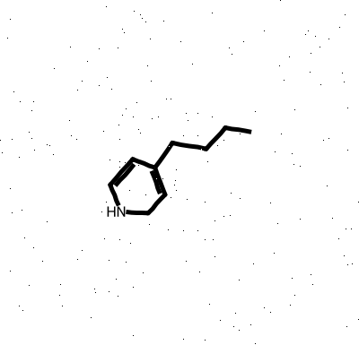 CCCCC1=CCNC=C1